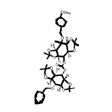 COc1ccc(COC2(C)[C@@H]3OC(C)(C)O[C@H]3C(OC(=O)O[C@H]3[C@@H]4OC(C)(C)O[C@H]4[C@H](OCc4ccccc4)[C@@H]4OC(C)(C)O[C@@H]34)[C@@H]3OC(C)(C)O[C@H]32)cc1